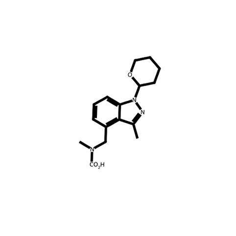 Cc1nn(C2CCCCO2)c2cccc(CN(C)C(=O)O)c12